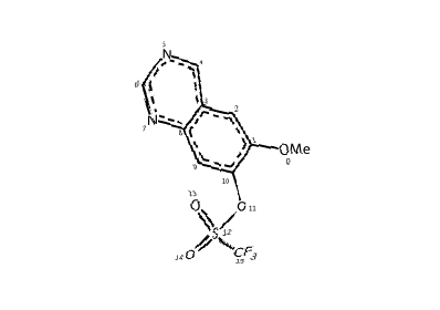 COc1cc2cncnc2cc1OS(=O)(=O)C(F)(F)F